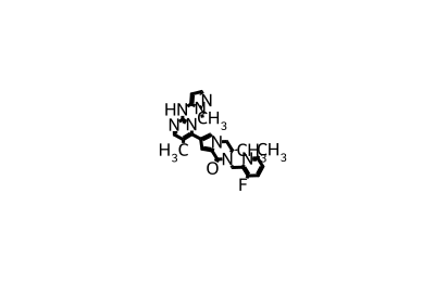 Cc1ccc(F)c(CN2C(=O)c3cc(-c4nc(Nc5ccnn5C)ncc4C)cn3C[C@@H]2C)n1